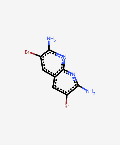 Nc1nc2nc(N)c(Br)cc2cc1Br